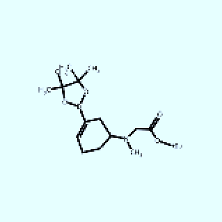 CN(CC(=O)OC(C)(C)C)C1CCC=C(B2OC(C)(C)C(C)(C)O2)C1